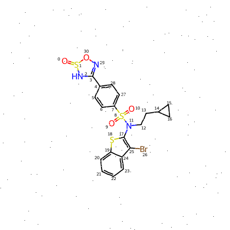 O=S1NC(c2ccc(S(=O)(=O)N(CCC3CC3)c3sc4ccccc4c3Br)cc2)=NO1